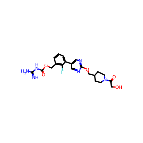 N=C(N)NC(=O)OCc1cccc(-c2cnc(OCC3CCN(C(=O)CO)CC3)nc2)c1F